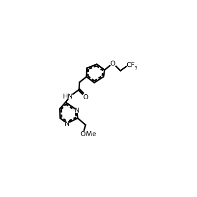 COCc1nccc(NC(=O)Cc2ccc(OCC(F)(F)F)cc2)n1